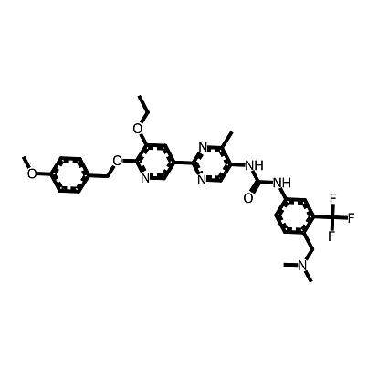 CCOc1cc(-c2ncc(NC(=O)Nc3ccc(CN(C)C)c(C(F)(F)F)c3)c(C)n2)cnc1OCc1ccc(OC)cc1